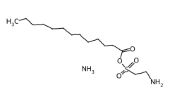 CCCCCCCCCCCCC(=O)OS(=O)(=O)CCN.N